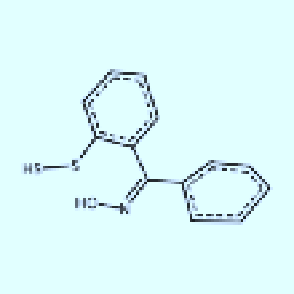 ON=C(c1ccccc1)c1ccccc1SS